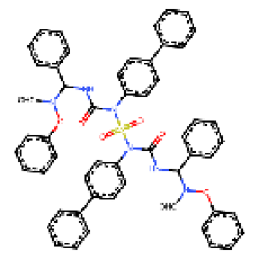 O=CN(Oc1ccccc1)C(NC(=O)N(c1ccc(-c2ccccc2)cc1)S(=O)(=O)N(C(=O)NC(c1ccccc1)N(C=O)Oc1ccccc1)c1ccc(-c2ccccc2)cc1)c1ccccc1